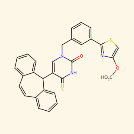 O=C(O)Oc1csc(-c2cccc(Cn3cc(C4c5ccccc5C=Cc5ccccc54)c(=S)[nH]c3=O)c2)n1